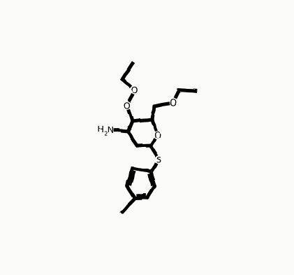 CCOCC1OC(Sc2ccc(C)cc2)CC(N)C1OOCC